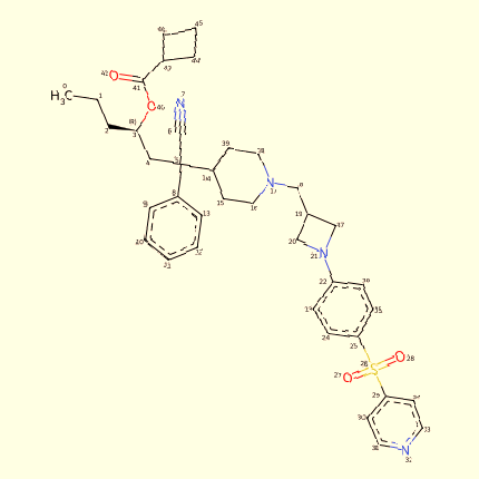 CCC[C@H](CC(C#N)(c1ccccc1)C1CCN(CC2CN(c3ccc(S(=O)(=O)c4ccncc4)cc3)C2)CC1)OC(=O)C1CCC1